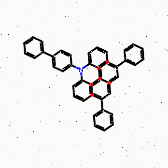 c1ccc(-c2ccc(-c3ccccc3N(c3ccc(-c4ccccc4)cc3)c3ccccc3-c3ccc(-c4ccccc4)cc3)cc2)cc1